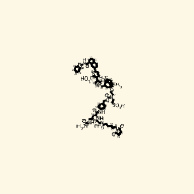 Cc1c(-c2ccc(-c3ccc4cccc(C(=O)Nc5nc6ccccc6s5)c4c3)nc2C(=O)O)cnn1CC12CC3(OCCN(CCS(=O)(=O)O)C(=O)OCc4ccc(NC(=O)[C@H](CCCNC(N)=O)NC(=O)[C@@H](NC(=O)CCCCCN5C(=O)C=CC5=O)C(C)C)cc4)CC4(C)CC(C)(C1)C4(C2)C3